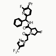 CC(C)c1ccc(C(NC(=O)C2CC(F)CN2C(=O)Cn2cc(C(F)(F)F)cn2)c2ccccc2)nc1F